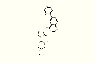 CCC[C@@H]1C[C@H](N(C)C(C)C)CC[C@@H]1N1CC[C@H](Nc2ncnc3ccc(-c4ccccc4OC)cc23)C1=O